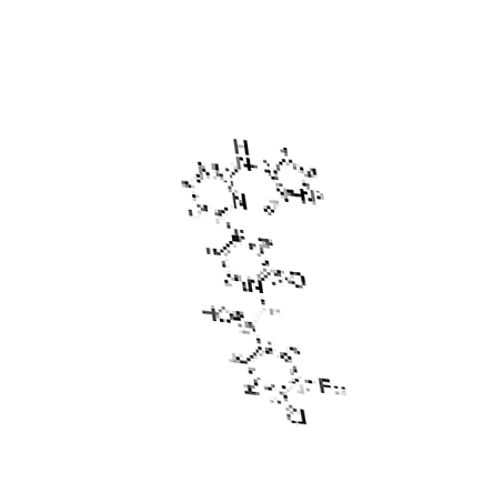 Cn1nccc1Nc1nccc(-c2ccn(C[C@H](O)c3ccc(Cl)c(F)c3)c(=O)c2)n1